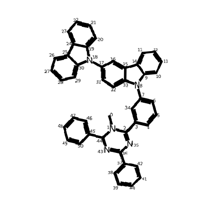 CN1C(c2cccc(-n3c4ccccc4c4cc(-n5c6ccccc6c6ccccc65)ccc43)c2)=NC(c2ccccc2)=NC1c1ccccc1